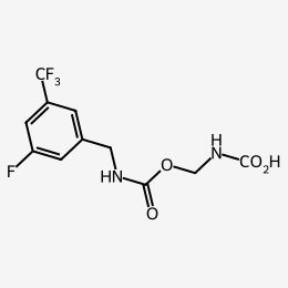 O=C(O)NCOC(=O)NCc1cc(F)cc(C(F)(F)F)c1